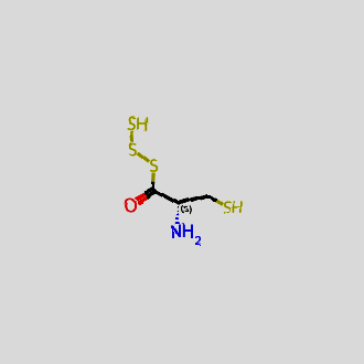 N[C@@H](CS)C(=O)SSS